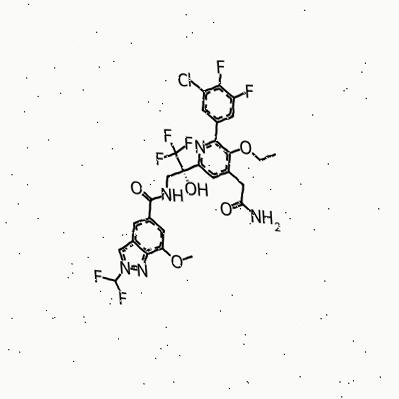 CCOc1c(CC(N)=O)cc([C@@](O)(CNC(=O)c2cc(OC)c3nn(C(F)F)cc3c2)C(F)(F)F)nc1-c1cc(F)c(F)c(Cl)c1